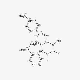 CC(O)C(C)C(O)c1ccccc1.O=C(O)C(=O)c1ccccc1.O=C(O)c1ccccc1